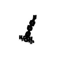 CC(C)(C)C1C=CC(C2C=CC(C3=CCC(C#N)C=C3)=CC2)=CC1